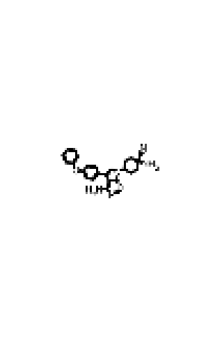 N#CC1(N)CCC(n2cc(-c3ccc(Oc4ccccc4)cc3)c3c(N)ncnc32)CC1